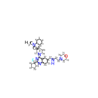 CN(C)c1ccccc1C1CCN(c2nc(C3(F)CCCC3)nc3ccc(CNCCN4CCOCC4)cc23)CC1